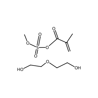 C=C(C)C(=O)OS(=O)(=O)OC.OCCOCCO